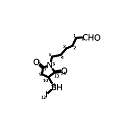 O=CCCCCCN1C(=O)CC(BI)C1=O